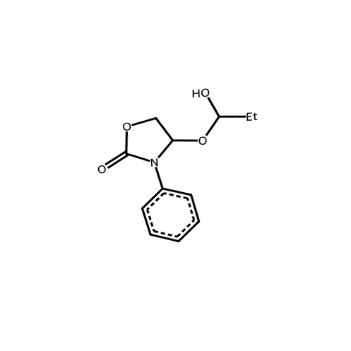 CCC(O)OC1COC(=O)N1c1ccccc1